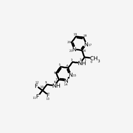 CC(NCc1ccc(NCC(F)(F)F)nn1)c1ncccn1